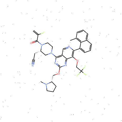 C=C(F)C(=O)N1CCN(c2nc(OC[C@@H]3CCCN3C)nc3c(OCC(F)(F)F)c(-c4cccc5cccc(C)c45)ncc23)C[C@@H]1CC#N